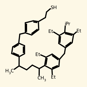 CCc1cc(Cc2cc(CC)c(C(C)CCC(C)c3ccc(Cc4ccc(CCS)cc4)cc3)c(CC)c2)cc(CC)c1C(C)C